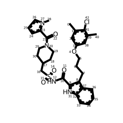 Cc1cc(OCCCc2c(C(=O)NS(=O)(=O)CC3CCN(C(=O)c4cccn4C)CC3)[nH]c3ccccc23)cc(C)c1Cl